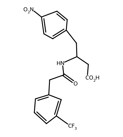 O=C(O)CC(Cc1ccc([N+](=O)[O-])cc1)NC(=O)Cc1cccc(C(F)(F)F)c1